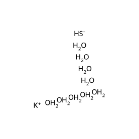 O.O.O.O.O.O.O.O.O.[K+].[SH-]